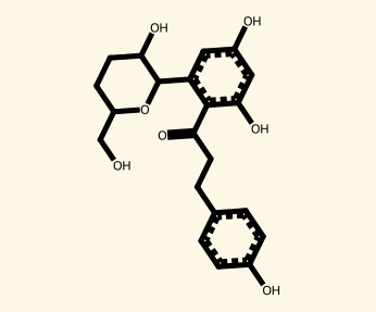 O=C(CCc1ccc(O)cc1)c1c(O)cc(O)cc1C1OC(CO)CCC1O